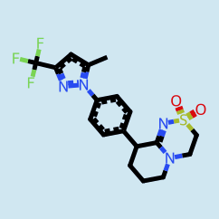 Cc1cc(C(F)(F)F)nn1-c1ccc(C2CCCN3CCS(=O)(=O)N=C23)cc1